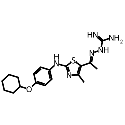 CC(=NNC(=N)N)c1sc(Nc2ccc(OC3CCCCC3)cc2)nc1C